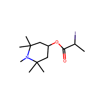 CC(I)C(=O)OC1CC(C)(C)N(C)C(C)(C)C1